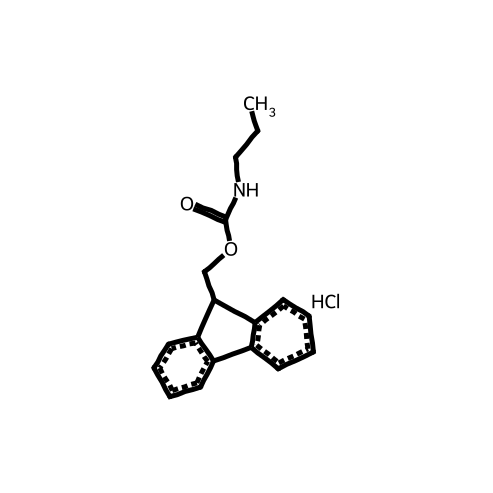 CCCNC(=O)OCC1c2ccccc2-c2ccccc21.Cl